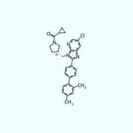 Cc1ccc(-c2ccc(-c3nc4cc(Cl)cnc4n3C[C@@H]3CCN(C(=O)C4CC4)C3)cc2)c(C)c1